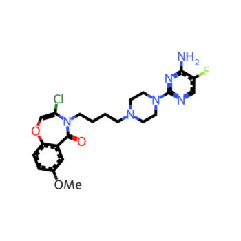 COc1ccc2c(c1)C(=O)N(CCCCN1CCN(c3ncc(F)c(N)n3)CC1)C(Cl)=CO2